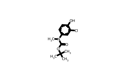 CN(C(=O)OC(C)(C)C)c1ccc(O)c(Cl)c1